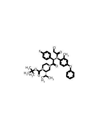 Cc1cc(Oc2ccccc2)ccc1N(C(=O)CCl)[C@@H](C(=O)N1CCN(C(=O)OC(C)(C)C)[C@@H](C(C)C)C1)c1ccc(F)cc1